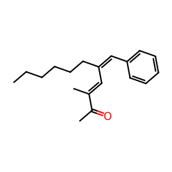 CCCCCCC(=C/c1ccccc1)/C=C(\C)C(C)=O